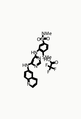 CNS(=O)(=O)c1ccc(SC)c(Nc2cc(Nc3ccc4ncccc4c3)ncn2)c1.O=C(O)C(F)(F)F